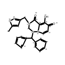 Cc1cc(CN2CN(C(c3ccccc3)c3ccccc3)n3ccc(=O)c(O)c3C2=O)no1